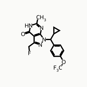 Cc1nc2c(c(CF)nn2C(c2ccc(OC(F)(F)F)cc2)C2CC2)c(=O)[nH]1